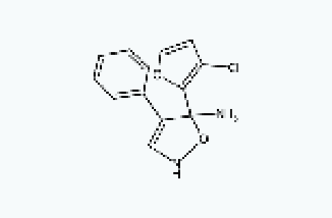 NC1(c2occc2Cl)ONC=C1c1ccccc1